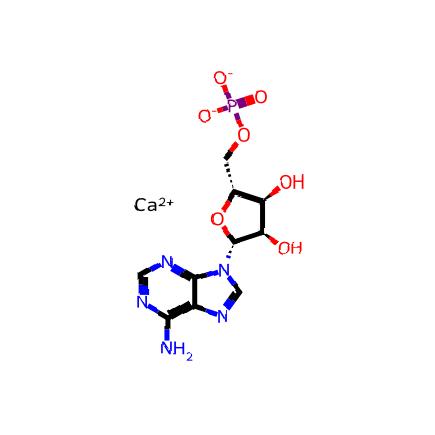 Nc1ncnc2c1ncn2[C@@H]1O[C@H](COP(=O)([O-])[O-])[C@@H](O)[C@H]1O.[Ca+2]